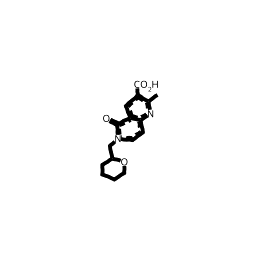 Cc1nc2ccn(CC3CCCCO3)c(=O)c2cc1C(=O)O